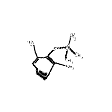 Cc1cccc(N)c1O[Si](C)(C)C